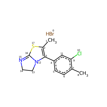 Br.CC1=C(c2ccc(C)c(Cl)c2)N2CCN=C2S1